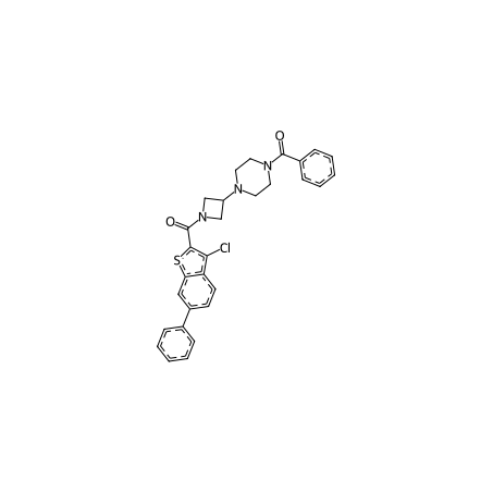 O=C(c1ccccc1)N1CCN(C2CN(C(=O)c3sc4cc(-c5ccccc5)ccc4c3Cl)C2)CC1